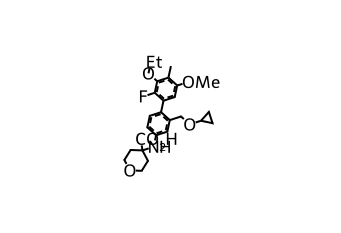 CCOc1c(C)c(OC)cc(-c2ccc(NC3(C(=O)O)CCOCC3)cc2COC2CC2)c1F